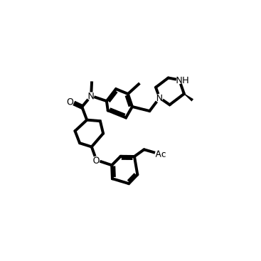 CC(=O)Cc1cccc(OC2CCC(C(=O)N(C)c3ccc(CN4CCN[C@@H](C)C4)c(C)c3)CC2)c1